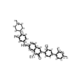 CCn1c(=O)c(-c2ccc(-c3ccc(C)nc3C)cc2Cl)cc2cnc(Nc3ccc(C4CCN(C)CC4)c(F)c3)nc21